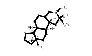 [CH3][Sb]1[CH2]C2CC[C@@H]3[C@H](CC[C@]4(C)CCC[C@@H]34)[C@H]2C[C]1(C)O